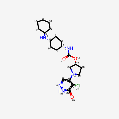 O=C(N[C@H]1CC[C@@H](NC2CCCCC2)CC1)O[C@@H]1CCN(c2cn[nH]c(=O)c2Cl)C1